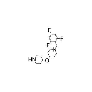 Fc1cc(F)c(CN2CCC(OC3CCNCC3)CC2)c(F)c1